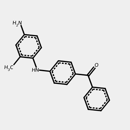 Cc1cc(N)ccc1Nc1ccc(C(=O)c2ccccc2)cc1